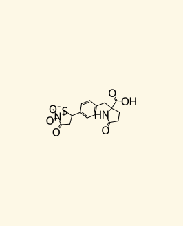 O=C1CCC(Cc2ccc(C3CC(=O)[N+]([O-])([O-])S3)cc2)(C(=O)O)N1